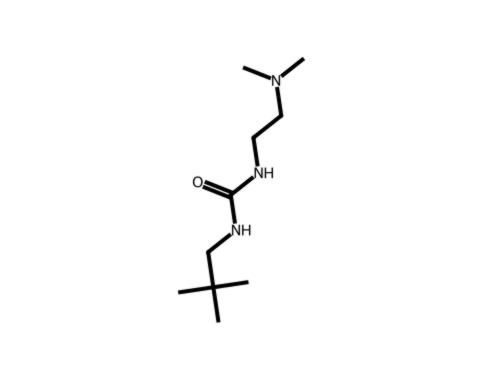 CN(C)CCNC(=O)NCC(C)(C)C